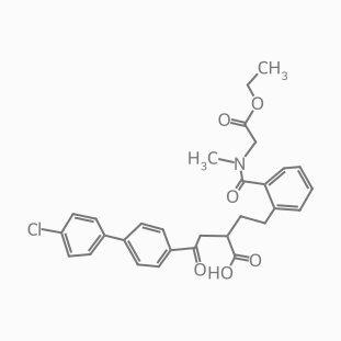 CCOC(=O)CN(C)C(=O)c1ccccc1CCC(CC(=O)c1ccc(-c2ccc(Cl)cc2)cc1)C(=O)O